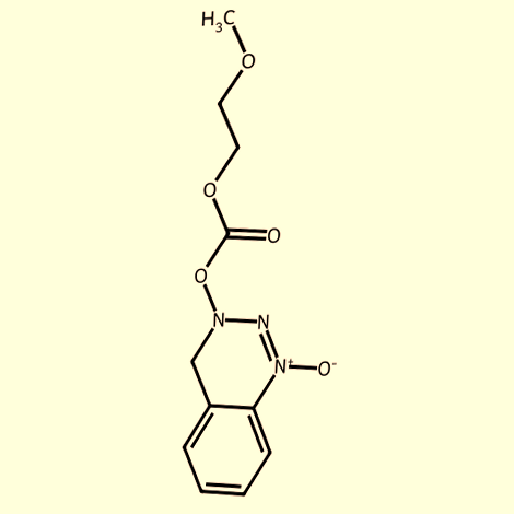 COCCOC(=O)ON1Cc2ccccc2[N+]([O-])=N1